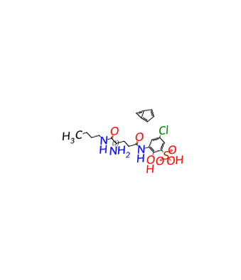 CCCCNC(=O)[C@@H](N)CCC(=O)Nc1cc(Cl)cc(S(=O)(=O)O)c1O.c1cc2cc-2c1